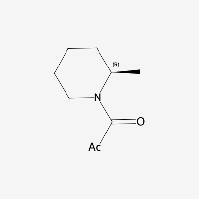 CC(=O)C(=O)N1CCCC[C@H]1C